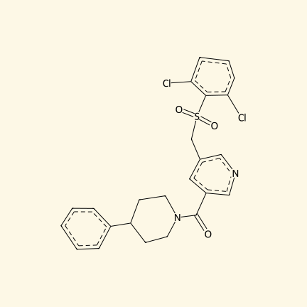 O=C(c1cncc(CS(=O)(=O)c2c(Cl)cccc2Cl)c1)N1CCC(c2ccccc2)CC1